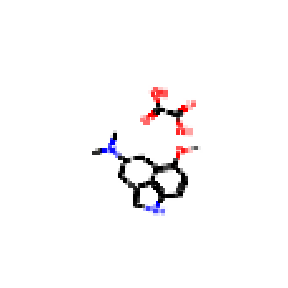 COc1ccc2[nH]cc3c2c1CC(N(C)C)C3.O=C(O)C(=O)O